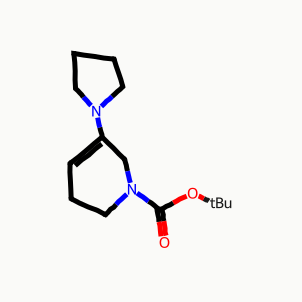 CC(C)(C)OC(=O)N1CCC=C(N2CCCC2)C1